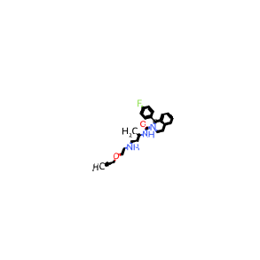 C#CCOCCNCCC(=C)NC(=O)N1CCc2ccccc2[C@@H]1c1ccc(F)cc1